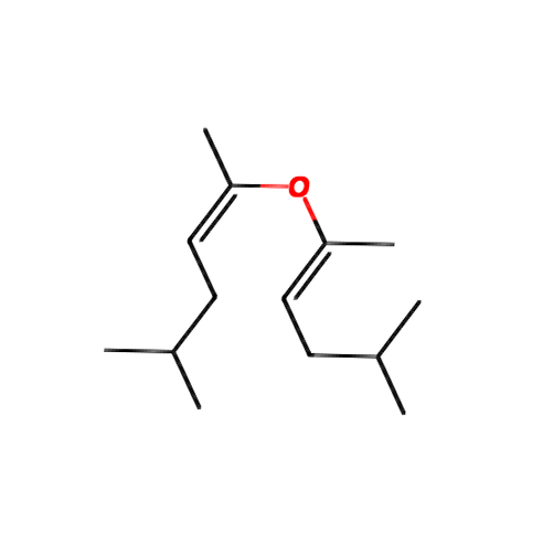 CC(=CCC(C)C)OC(C)=CCC(C)C